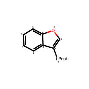 CCCCCc1coc2ccccc12